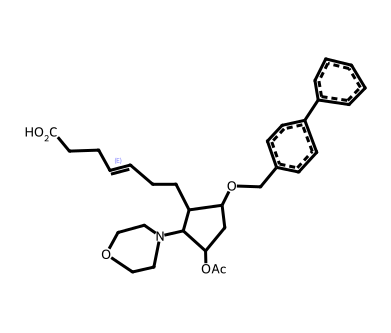 CC(=O)OC1CC(OCc2ccc(-c3ccccc3)cc2)C(CC/C=C/CCC(=O)O)C1N1CCOCC1